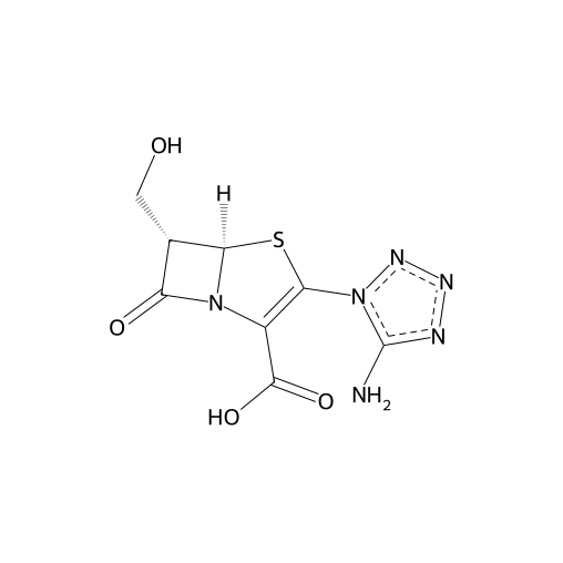 Nc1nnnn1C1=C(C(=O)O)N2C(=O)[C@H](CO)[C@H]2S1